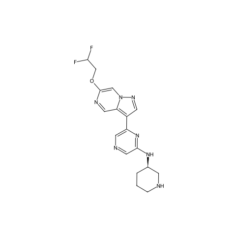 FC(F)COc1cn2ncc(-c3cncc(N[C@@H]4CCCNC4)n3)c2cn1